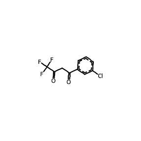 O=C(CC(=O)C(F)(F)F)c1cccc(Cl)c1